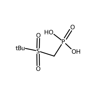 CC(C)(C)S(=O)(=O)CP(=O)(O)O